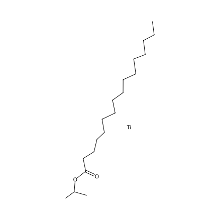 CCCCCCCCCCCCCCCC(=O)OC(C)C.[Ti]